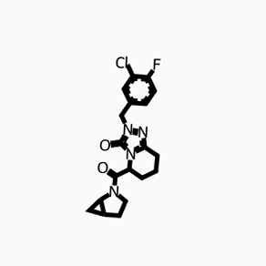 O=C(C1CCCc2nn(Cc3ccc(F)c(Cl)c3)c(=O)n21)N1CCC2CC21